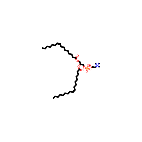 CCCCCC/C=C\CCCCCCCC(=O)OCC(COP(=O)(O)OCC[N+](C)(C)C)OC(=O)CCCCCCC/C=C\CCCCCCCC